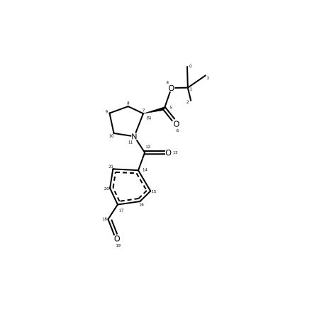 CC(C)(C)OC(=O)[C@@H]1CCCN1C(=O)c1ccc(C=O)cc1